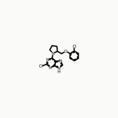 Clc1nc(N2CCCC2COc2ccccc2Cl)c2nc[nH]c2n1